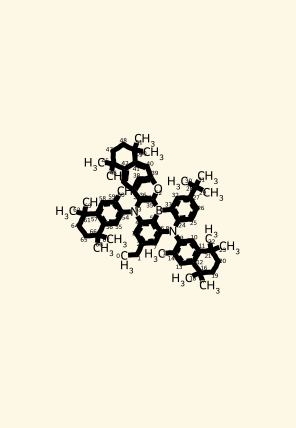 CCc1cc2c3c(c1)N(c1cc4c(cc1C)C(C)(C)CCC4(C)C)c1ccc(C(C)(C)C)cc1B3C1=C(C3=C=C(C=C4C(=C3)C(C)(C)CCC4(C)C)O1)N2c1cc2c(cc1C)C(C)(C)CCC2(C)C